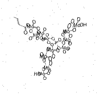 C/C=C/C(=O)[O][Mo](=[O])(=[O])[O][Mo](=[O])(=[O])[O][Mo](=[O])(=[O])[O][Mo](=[O])(=[O])[O]P(=O)([O][Mo](=[O])(=[O])[O][Mo](=[O])(=[O])[O][Mo](=[O])(=[O])[O][Mo](=[O])(=[O])[OH])[O][Mo](=[O])(=[O])[O][Mo](=[O])(=[O])[O][Mo](=[O])(=[O])[O][Mo](=[O])(=[O])[OH]